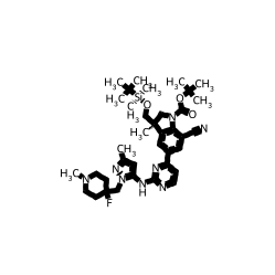 Cc1cc(Nc2nccc(-c3cc(C#N)c4c(c3)[C@@](C)(CO[Si](C)(C)C(C)(C)C)CN4C(=O)OC(C)(C)C)n2)n(CC2(F)CCN(C)CC2)n1